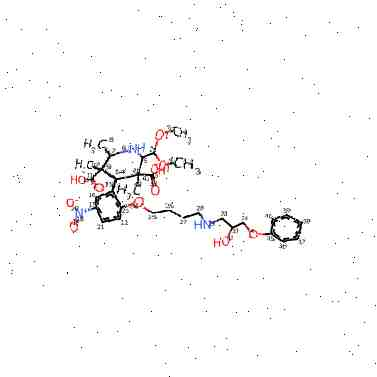 COC(OC)C1NC(C)C(C)(C(=O)O)C(c2cc([N+](=O)[O-])ccc2OCCCCNCC(O)COc2ccccc2)C1(C)C(=O)O